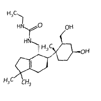 CCNC(=O)NC[C@H]1C2=C(CC[C@@H]1[C@@]1(C)CC[C@H](O)C[C@@H]1CO)C(C)(C)CC2